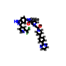 CO[C@@]1(C(=O)Nc2ccc3[nH]nc(-c4ccnc(C(F)F)c4)c3c2)CCN(CC(=O)N2CC=C(c3ccc(-c4ncccn4)cc3)CC2)C1